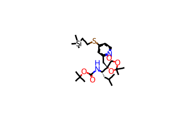 CC(C)C[C@H](NC(=O)OC(C)(C)C)[C@@]1(Cc2cc(SCC[Si](C)(C)C)ccn2)OC(C)(C)OC1=O